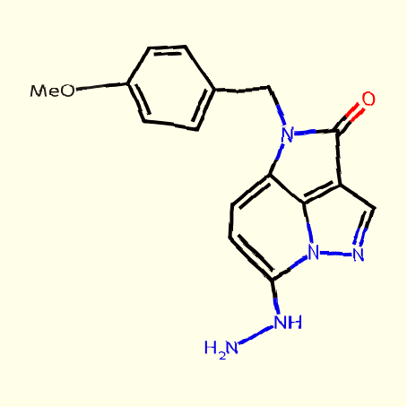 COc1ccc(Cn2c(=O)c3cnn4c(NN)ccc2c34)cc1